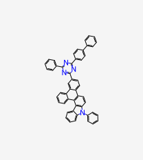 c1ccc(-c2ccc(-c3nc(-c4ccccc4)nc(-c4ccc5c(c4)c4ccccc4c4c5ccc5c4c4ccccc4n5-c4ccccc4)n3)cc2)cc1